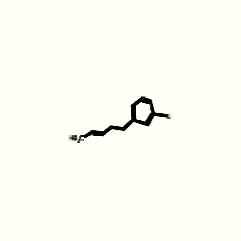 O=C(O)/C=C/CCc1cccc(Cl)c1